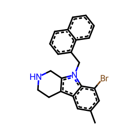 Cc1cc(Br)c2c(c1)c1c(n2Cc2cccc3ccccc23)CNCC1